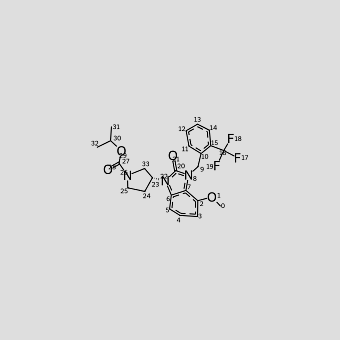 COc1cccc2c1n(Cc1ccccc1C(F)(F)F)c(=O)n2[C@@H]1CCN(C(=O)OC(C)C)C1